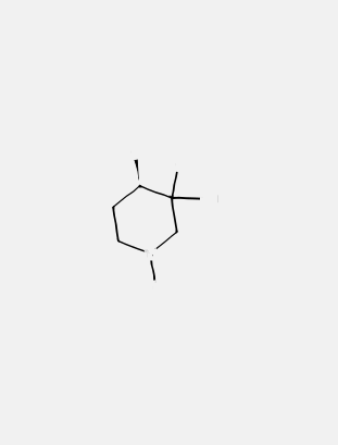 CN1CC[C@@H](O)C(C)(C)C1